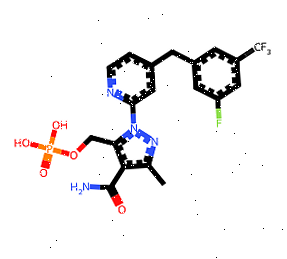 Cc1nn(-c2cc(Cc3cc(F)cc(C(F)(F)F)c3)ccn2)c(COP(=O)(O)O)c1C(N)=O